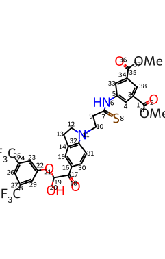 COC(=O)c1cc(NC(=S)CCN2CCc3cc(C(=O)C(O)Oc4cc(C(F)(F)F)cc(C(F)(F)F)c4)ccc32)cc(C(=O)OC)c1